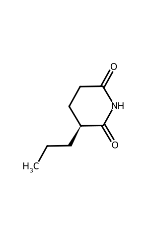 CCC[C@H]1CCC(=O)NC1=O